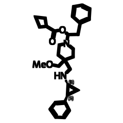 COCC1(CN[C@@H]2C[C@H]2c2ccccc2)CCN(C(Cc2ccccc2)OC(=O)C2CCC2)CC1